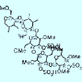 [3H]C[C@@H]1O[C@H](O[C@H]2C(C)C(C)CO[C@H]2COC)C(C)C(C)[C@@H]1O[C@@H]1OC(COC)[C@@H](O[C@@H]2OC(COC)[C@@H](O[C@@H]3OC(COC)[C@@H](OC)[C@H](OS(=O)(=O)O)C3OC)[C@H](OS(=O)(=O)O)C2OC)[C@H](OS(=O)(=O)O)C1OC